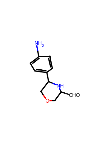 Nc1ccc(C2COCC(C=O)N2)cc1